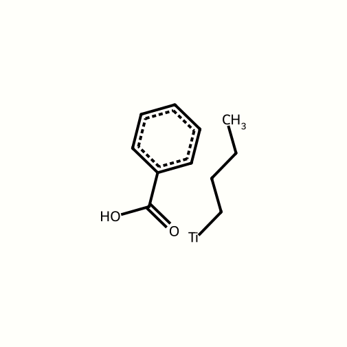 CCC[CH2][Ti].O=C(O)c1ccccc1